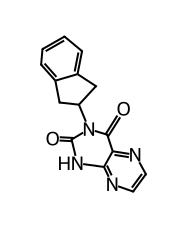 O=c1[nH]c2nccnc2c(=O)n1C1Cc2ccccc2C1